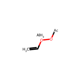 C=COOC(C)=O.[AlH3]